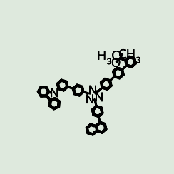 CC1(C)Oc2cc(-c3ccc(-c4nc(-c5ccc(-c6cccc(-n7c8ccccc8c8ccccc87)c6)cc5)nc(-c5ccc(-c6cccc7ccccc67)cc5)n4)cc3)ccc2-c2ccccc21